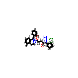 Cc1cccc2c1CCN(C(=O)CCC(=O)Nc1ccccc1Cl)C2c1ccccc1